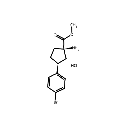 COC(=O)[C@@]1(N)CC[C@H](c2ccc(Br)cc2)C1.Cl